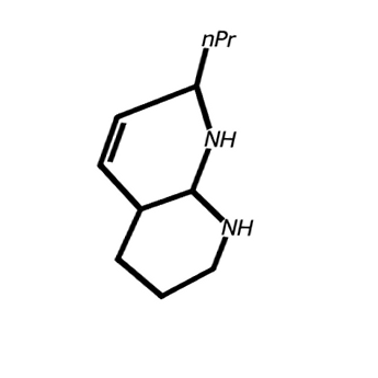 CCCC1C=CC2CCCNC2N1